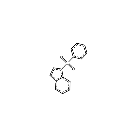 O=S(=O)(c1ccccc1)c1ccn2ccccc12